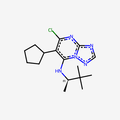 C[C@@H](Nc1c(C2CCCC2)c(Cl)nc2ncnn12)C(C)(C)C